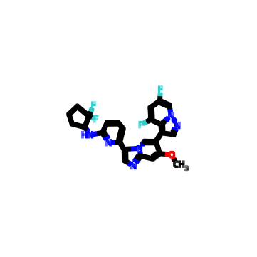 COc1cc2ncc(-c3cccc(NC4CCCC4(F)F)n3)n2cc1-c1cnn2cc(F)cc(F)c12